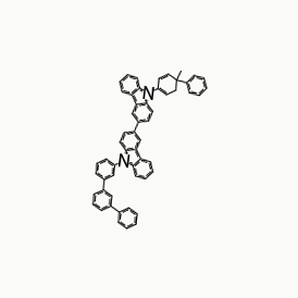 CC1(c2ccccc2)C=CC(n2c3ccccc3c3cc(-c4ccc5c(c4)c4ccccc4n5-c4cccc(-c5cccc(-c6ccccc6)c5)c4)ccc32)=CC1